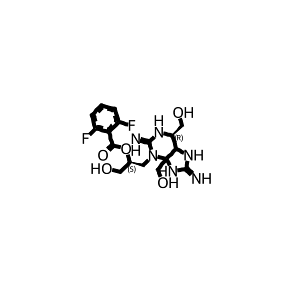 N=C1NC2[C@H](CO)NC(=N)N(C[C@@H](CO)OC(=O)c3c(F)cccc3F)C2(CO)N1